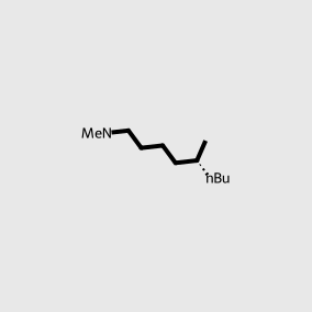 CCCC[C@@H](C)CCCCNC